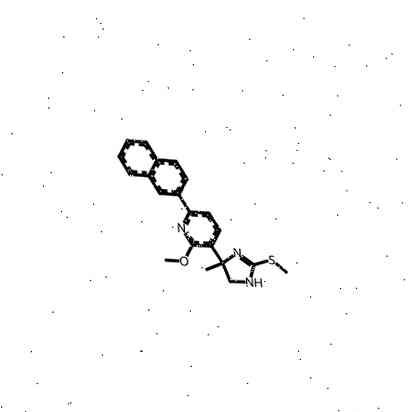 COc1nc(-c2ccc3ccccc3c2)ccc1C1(C)CNC(SC)=N1